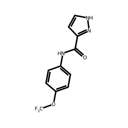 O=C(Nc1ccc(OC(F)(F)F)cc1)c1cc[nH]n1